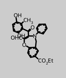 CCOC(=O)c1ccc2c(c1)CN(c1ccccc1)C(C(=O)c1c(O)ccc(O)c1C)=C(C=O)O2